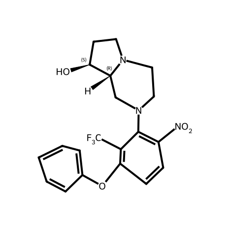 O=[N+]([O-])c1ccc(Oc2ccccc2)c(C(F)(F)F)c1N1CCN2CC[C@H](O)[C@H]2C1